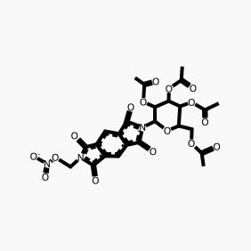 CC(=O)OCC1OC(n2c(=O)c3cc4c(=O)n(CO[N+](=O)[O-])c(=O)c4cc3c2=O)C(OC(C)=O)C(OC(C)=O)C1OC(C)=O